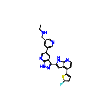 CCNCc1cncc(-c2cnc3[nH]nc(-c4cc5c(-c6ccc(F)s6)ccnc5[nH]4)c3c2)c1